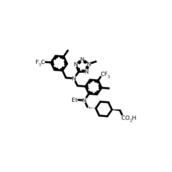 CCN(C[C@H]1CC[C@H](CC(=O)O)CC1)c1cc(C)c(C(F)(F)F)cc1CN(Cc1cc(C)cc(C(F)(F)F)c1)c1nnn(C)n1